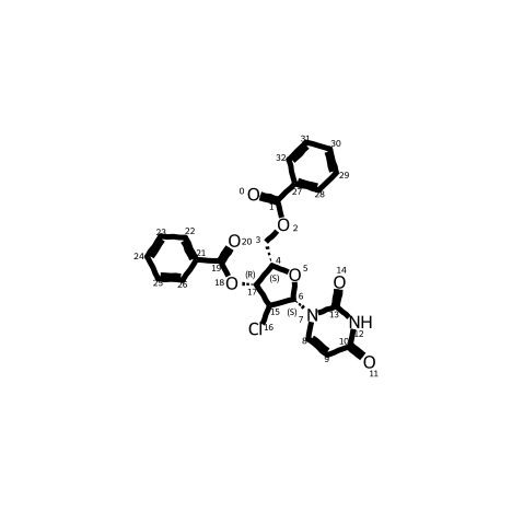 O=C(OC[C@@H]1O[C@H](n2ccc(=O)[nH]c2=O)C(Cl)[C@@H]1OC(=O)c1ccccc1)c1ccccc1